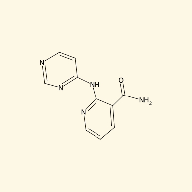 NC(=O)c1cccnc1Nc1ccncn1